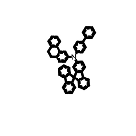 c1ccc(-c2ccc(N(c3ccc4c(c3)-c3ccccc3CC4)c3ccc4c(c3)C3(c5ccccc5-c5ccccc53)c3ccccc3-4)cc2)cc1